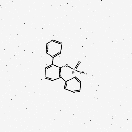 NS(=O)(=O)Oc1c(-c2ccccc2)cccc1-c1ccccc1